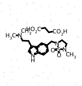 CN(C)CCc1c[nH]c2ccc(CN3CCN(C)S3(=O)=O)cc12.O=C(O)CCC(=O)O